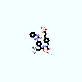 COC(=O)CCc1ccc(C[C@H](NC(=O)C(CC(C)C)c2ccc(NC(=O)Nc3ccccc3)cc2)C(=O)OC)cc1